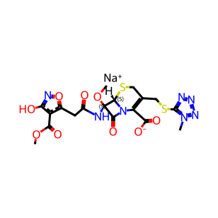 COC(=O)c1c(O)noc1CC(=O)N[C@]1(OC)C(=O)N2C(C(=O)[O-])=C(CSc3nnnn3C)CS[C@H]21.[Na+]